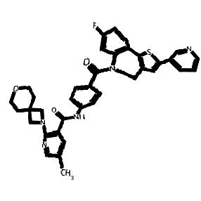 Cc1cnc(N2CC3(CCOCC3)C2)c(C(=O)Nc2ccc(C(=O)N3CCc4cc(-c5cccnc5)sc4-c4ccc(F)cc43)cc2)c1